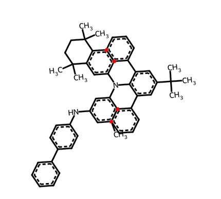 Cc1cc(Nc2ccc(-c3ccccc3)cc2)cc(N(c2ccc3c(c2)C(C)(C)CCC3(C)C)c2c(-c3ccccc3)cc(C(C)(C)C)cc2-c2ccccc2)c1